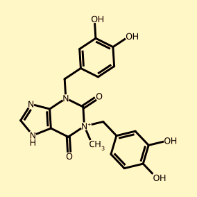 C[N+]1(Cc2ccc(O)c(O)c2)C(=O)c2[nH]cnc2N(Cc2ccc(O)c(O)c2)C1=O